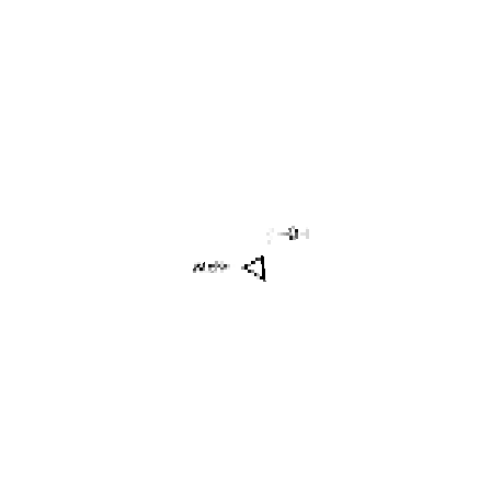 CN[C@H]1C[C@H]1CO